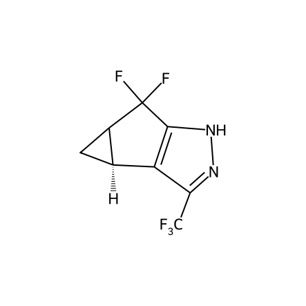 FC(F)(F)c1n[nH]c2c1[C@H]1CC1C2(F)F